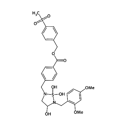 COc1ccc(CN2C(O)CN(Cc3ccc(C(=O)OCc4ccc(S(C)(=O)=O)cc4)cc3)S2(O)O)c(OC)c1